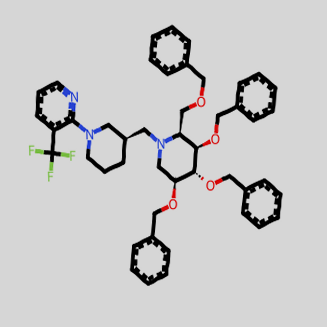 FC(F)(F)c1cccnc1N1CCC[C@H](CN2C[C@H](OCc3ccccc3)[C@@H](OCc3ccccc3)[C@H](OCc3ccccc3)[C@@H]2COCc2ccccc2)C1